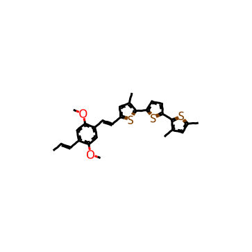 C/C=C/c1cc(OC)c(/C=C/c2cc(C)c(-c3ccc(-c4sc(C)cc4C)s3)s2)cc1OC